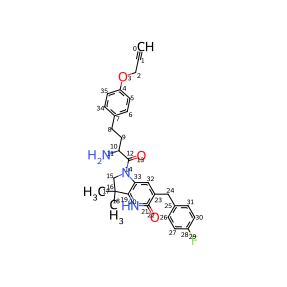 C#CCOc1ccc(CC[C@H](N)C(=O)N2CC(C)(C)c3[nH]c(=O)c(Cc4ccc(F)cc4)cc32)cc1